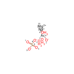 CC(=O)[O-].O.O.O.O=S(=O)([O-])[O-].[Mg+2].[Na+]